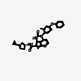 Cc1cc(Oc2ccccc2)ccc1N1C(=O)Nc2c(C(=O)N[C@@H]3CCN(C4CC4)C3)sc3nccc1c23